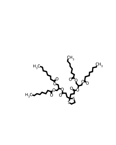 CCCCCCCC(=O)OCC(COC(=O)CCCCCCC)OC(=O)CCC1(CCC(=O)OC(COC(=O)CCCCCCC)COC(=O)CCCCCCC)SCCS1